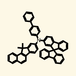 CC1(C)c2cc(N(c3ccc(-c4ccccc4)cc3)c3ccc4c(c3)C3(c5ccccc5-c5ccccc53)c3ccccc3-4)ccc2-c2ccc3ccccc3c21